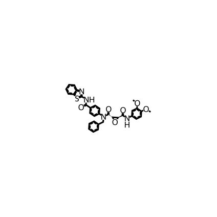 COc1ccc(NC(=O)[C@H]2O[C@@H]2C(=O)N(Cc2ccccc2)c2ccc(C(=O)Nc3nc4ccccc4s3)cc2)cc1OC